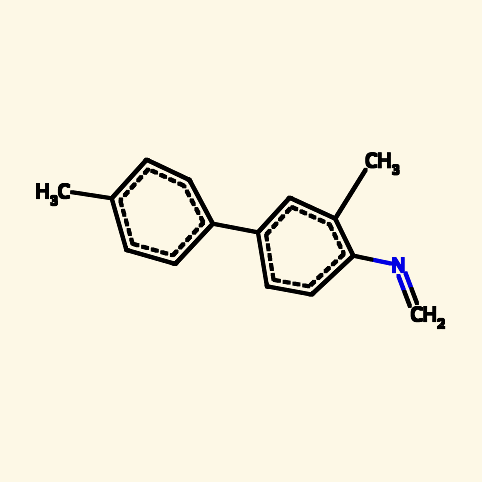 C=Nc1ccc(-c2ccc(C)cc2)cc1C